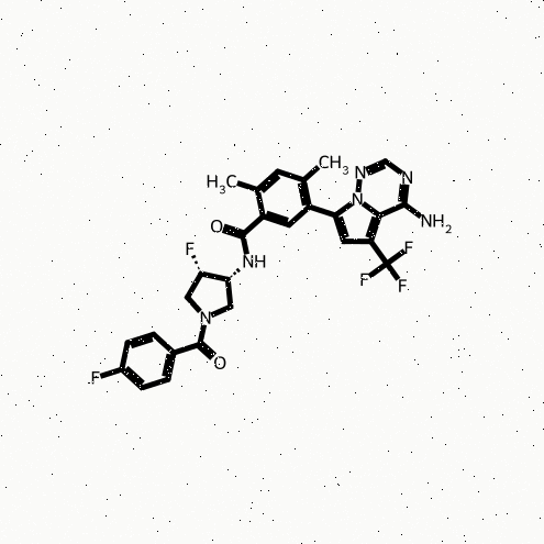 Cc1cc(C)c(-c2cc(C(F)(F)F)c3c(N)ncnn23)cc1C(=O)N[C@@H]1CN(C(=O)c2ccc(F)cc2)C[C@@H]1F